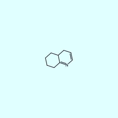 C1=CN=C2CCCCC2C1